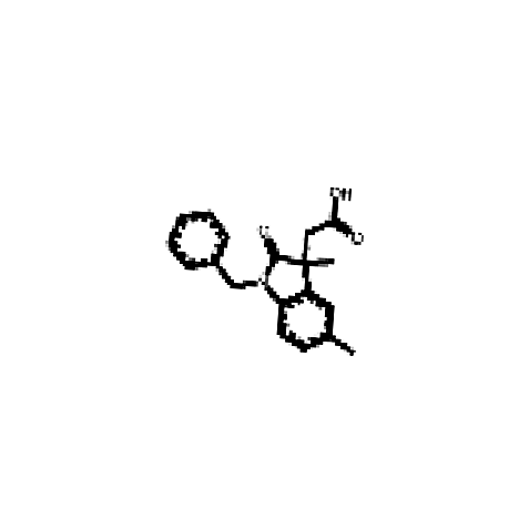 Cc1ccc2c(c1)C(C)(CC(=O)O)C(=O)N2Cc1ccccc1